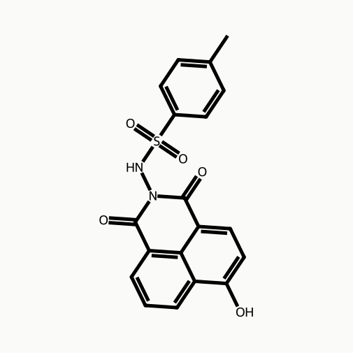 Cc1ccc(S(=O)(=O)NN2C(=O)c3cccc4c(O)ccc(c34)C2=O)cc1